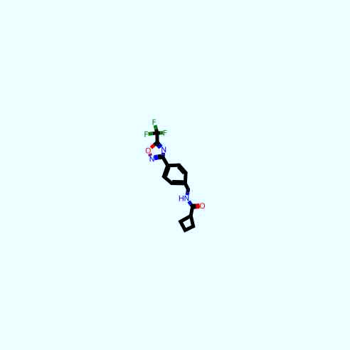 O=C(NCc1ccc(-c2noc(C(F)(F)F)n2)cc1)C1CCC1